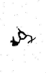 CC(C)(C)Cc1cc(F)cc(CC(C)(C)C)c1